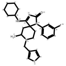 CC1CC2(CCN1Cc1ccsc1)C(NC1CCCCC1)=NC(=O)N2c1cccc(F)c1